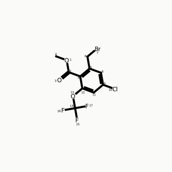 COC(=O)c1c(CBr)cc(Cl)cc1OC(F)(F)F